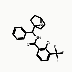 O=C(NC(c1ccccc1)C12CCC(CC1)N2)c1cccc(C(F)(F)F)c1Cl